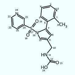 Cc1ncccc1-c1cc(CNC(=O)O)cn1S(=O)(=O)c1cccnc1